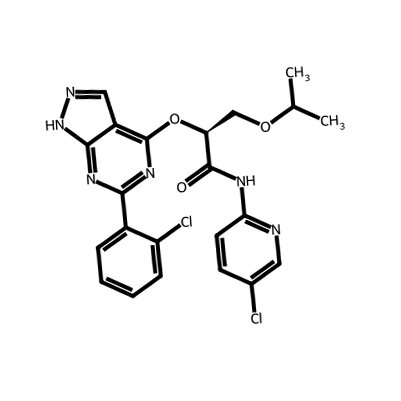 CC(C)OC[C@H](Oc1nc(-c2ccccc2Cl)nc2[nH]ncc12)C(=O)Nc1ccc(Cl)cn1